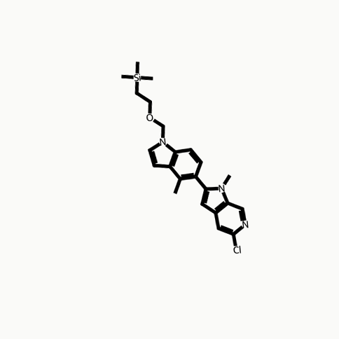 Cc1c(-c2cc3cc(Cl)ncc3n2C)ccc2c1ccn2COCC[Si](C)(C)C